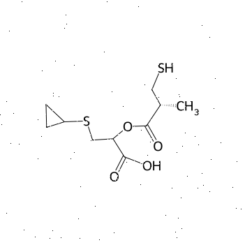 C[C@@H](CS)C(=O)OC(CSC1CC1)C(=O)O